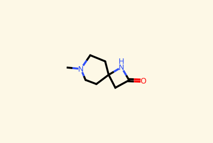 CN1CCC2(CC1)CC(=O)N2